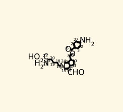 Nc1ccc(C(=O)OCC2CCC3C(C=O)=CN(CCCCC(N)C(=O)O)C=C23)cc1